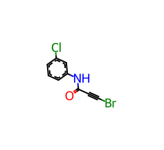 O=C(C#CBr)Nc1cccc(Cl)c1